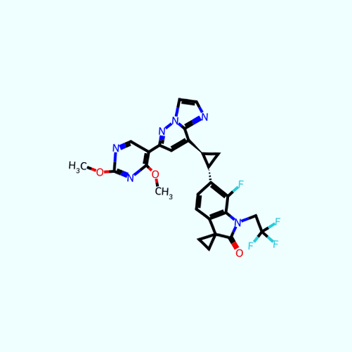 COc1ncc(-c2cc([C@H]3C[C@@H]3c3ccc4c(c3F)N(CC(F)(F)F)C(=O)C43CC3)c3nccn3n2)c(OC)n1